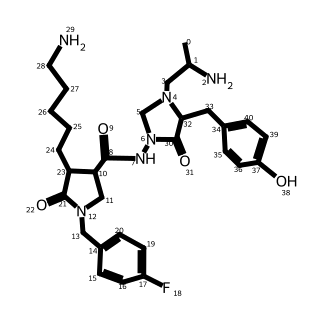 CC(N)CN1CN(NC(=O)C2CN(Cc3ccc(F)cc3)C(=O)C2CCCCCN)C(=O)C1Cc1ccc(O)cc1